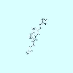 C=CCN.O=S(=O)(O)C(F)CCCCCCCCCCC(F)(F)F